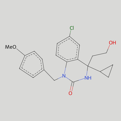 COc1ccc(CN2C(=O)NC(CCO)(C3CC3)c3cc(Cl)ccc32)cc1